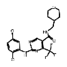 O=C(NCC1CCOCC1)c1cnc(Nc2cc(Cl)ccc2Cl)nc1C(F)(F)F